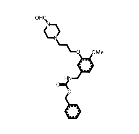 COc1ccc(CNC(=O)OCc2ccccc2)cc1OCCCN1CCN(C=O)CC1